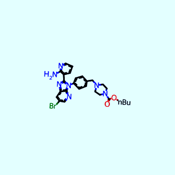 CCCCOC(=O)N1CCN(Cc2ccc(-n3c(-c4cccnc4N)nc4cc(Br)cnc43)cc2)CC1